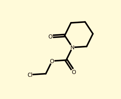 O=C1CCCCN1C(=O)OCCl